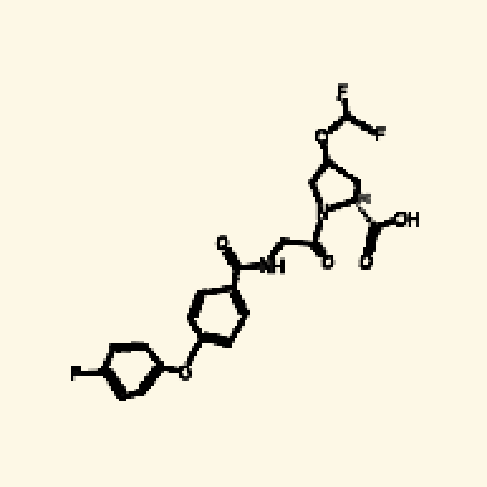 O=C(NCC(=O)N1CC(OC(F)F)C[C@@H]1C(=O)O)c1ccc(Oc2ccc(F)cc2)cc1